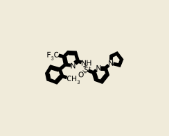 Cc1ccccc1-c1nc(N[S+]([O-])c2cccc(N3CCCC3)n2)ccc1C(F)(F)F